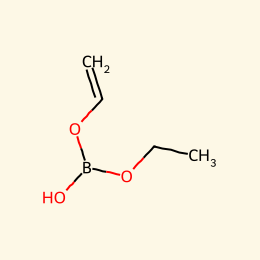 C=COB(O)OCC